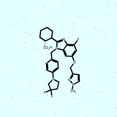 Cn1ccc(COc2cc(F)c3nc(C4CCCC[C@H]4C(=O)O)n(Cc4ccc(N5CCC(F)(F)C5)cc4)c3c2)n1